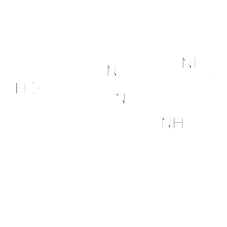 CCNc1c(N)cnn1CC(C)(C)CO